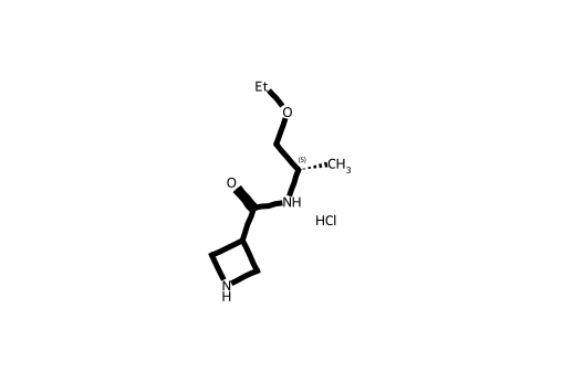 CCOC[C@H](C)NC(=O)C1CNC1.Cl